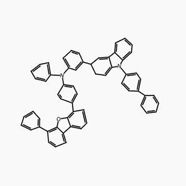 C1=c2c(n(-c3ccc(-c4ccccc4)cc3)c3ccccc23)=CCC1c1cccc(N(c2ccccc2)c2ccc(-c3cccc4c3oc3c(-c5ccccc5)cccc34)cc2)c1